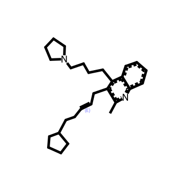 Cc1nc2ccccc2c(CCCCN2CCCC2)c1C/C=C/CCC1CCCC1